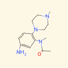 CC(=O)N(C)c1cc(N)ccc1N1CCN(C)CC1